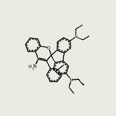 CCN(CC)c1ccc2c(c1)-c1cc(N(CC)CC)ccc1C21Oc2ccccc2C(N)=C1c1ccccc1C